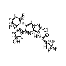 O=C(Nc1c(Cl)nn2ccc(N3C[C@@H](O)C[C@@H]3c3cc(F)ccc3F)nc12)NC1CC1(F)F